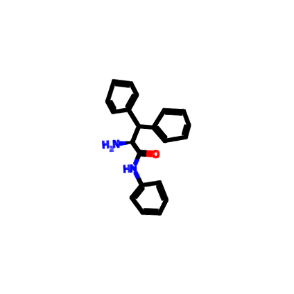 N[C@H](C(=O)Nc1ccccc1)C(c1ccccc1)c1ccccc1